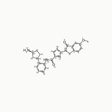 COc1ccc2c(c1)C(=O)N(c1nc(C(=O)Nc3cnccc3N3CC[C@H](N)C3)cs1)C2